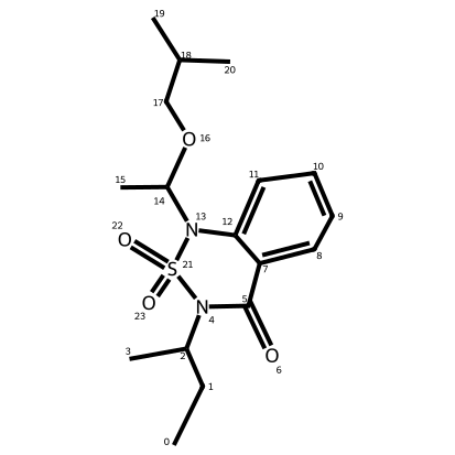 CCC(C)N1C(=O)c2ccccc2N(C(C)OCC(C)C)S1(=O)=O